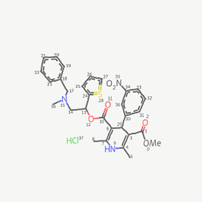 COC(=O)C1=C(C)NC(C)=C(C(=O)OC(CN(C)Cc2ccccc2)c2cccs2)C1c1cccc([N+](=O)[O-])c1.Cl